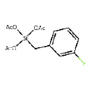 CC(=O)O[Si](Cc1cccc(F)c1)(OC(C)=O)OC(C)=O